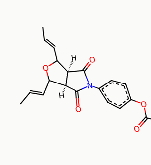 C/C=C/C1OC(/C=C/C)[C@@H]2C(=O)N(c3ccc(OC(C)=O)cc3)C(=O)[C@H]12